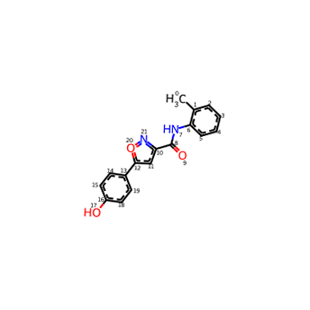 Cc1ccccc1NC(=O)c1cc(-c2ccc(O)cc2)on1